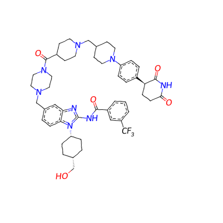 O=C1CC[C@@H](c2ccc(N3CCC(CN4CCC(C(=O)N5CCN(Cc6ccc7c(c6)nc(NC(=O)c6cccc(C(F)(F)F)c6)n7[C@H]6CC[C@@H](CO)CC6)CC5)CC4)CC3)cc2)C(=O)N1